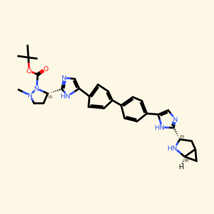 CN1CC[C@@H](c2ncc(-c3ccc(-c4ccc(-c5cnc([C@@H]6CC7C[C@H]7N6)[nH]5)cc4)cc3)[nH]2)N1C(=O)OC(C)(C)C